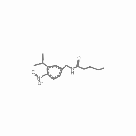 CCCCC(=O)NCc1ccc([N+](=O)[O-])c(C(C)C)c1